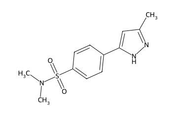 Cc1cc(-c2ccc(S(=O)(=O)N(C)C)cc2)[nH]n1